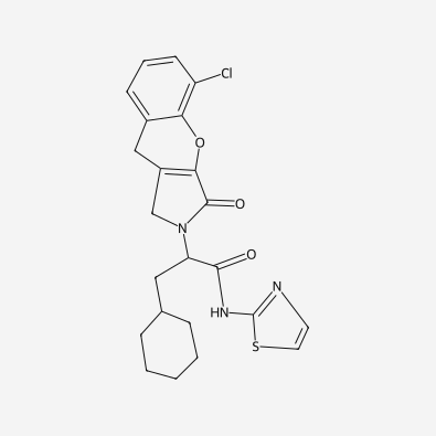 O=C(Nc1nccs1)C(CC1CCCCC1)N1CC2=C(Oc3c(Cl)cccc3C2)C1=O